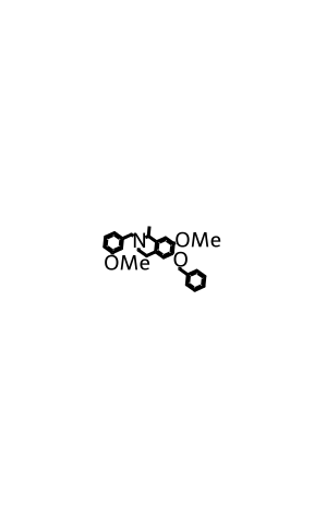 COc1cccc(CN2CCc3cc(OCc4ccccc4)c(OC)cc3C2C)c1